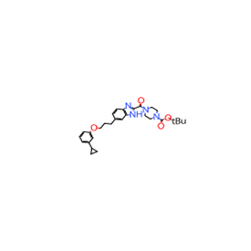 CC(C)(C)OC(=O)N1CCN(C(=O)c2nc3ccc(CCCOc4cccc(C5CC5)c4)cc3[nH]2)CC1